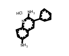 Cl.Nc1ccc2nc(N)c(-c3ccccc3)cc2c1